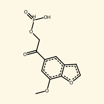 COc1cc(C(=O)CO[PH](=O)O)cc2ccoc12